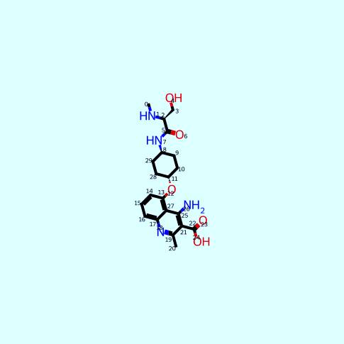 CN[C@@H](CO)C(=O)N[C@H]1CC[C@H](Oc2cccc3nc(C)c(C(=O)O)c(N)c23)CC1